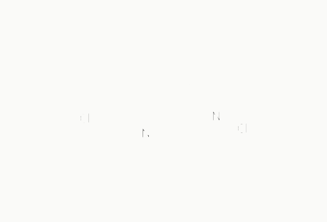 Clc1ccc(C2CCN(Cl)C2)nc1